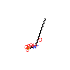 CCCCCCCCCCCCCC(=O)CCCC[N+](C)(C)CC(O)CS(=O)(=O)[O-]